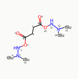 CC(C)(C)N(NOC(=O)CCC(=O)ONN(C(C)(C)C)C(C)(C)C)C(C)(C)C